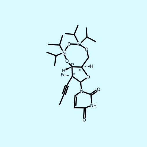 CC#C[C@]1(F)C(n2ccc(=O)[nH]c2=O)O[C@@H]2CO[Si](C(C)C)(C(C)C)O[Si](C(C)C)(C(C)C)O[C@H]21